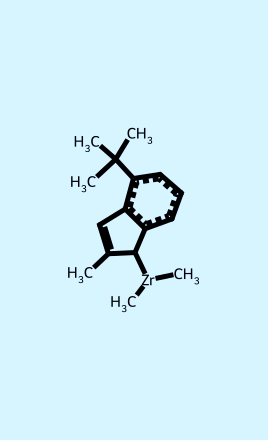 CC1=Cc2c(cccc2C(C)(C)C)[CH]1[Zr]([CH3])[CH3]